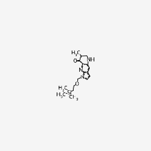 CC1CNc2cc3ccn(COCC[Si](C)(C)C)c3nc2C1=O